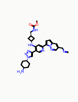 C=NCc1cnn2c(-c3cc(N[C@H]4C[C@H](CNC(=O)OC)C4)c(-c4cn([C@H]5CC[C@H](N)CC5)nn4)cn3)ccc2c1